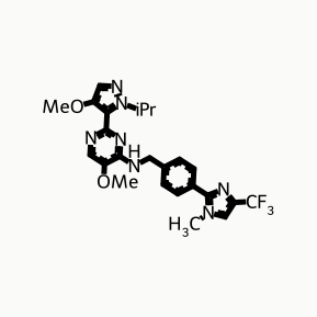 COc1cnc(-c2c(OC)cnn2C(C)C)nc1NCc1ccc(-c2nc(C(F)(F)F)cn2C)cc1